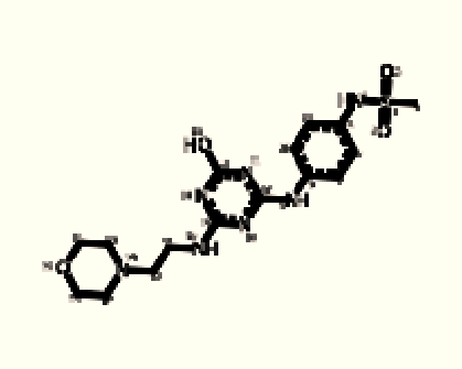 CS(=O)(=O)Nc1ccc(Nc2nc(O)nc(NCCN3CCOCC3)n2)cc1